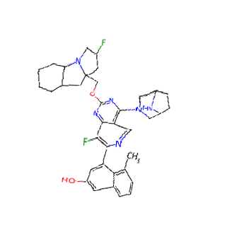 Cc1cccc2cc(O)cc(-c3ncc4c(N5CC6CCC(C5)N6)nc(OCC56CC(F)CN5C5CCCCC5C6)nc4c3F)c12